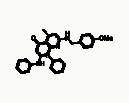 COc1ccc(CNc2cc(C)c3c(=O)cc(Nc4ccccc4)n(-c4ccccc4)c3n2)cc1